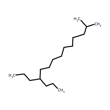 CCCC(CCC)CCCCCCCCC(C)C